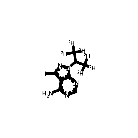 [2H]C([2H])([2H])C(n1nc(I)c2c(N)ncnc21)C([2H])([2H])[2H]